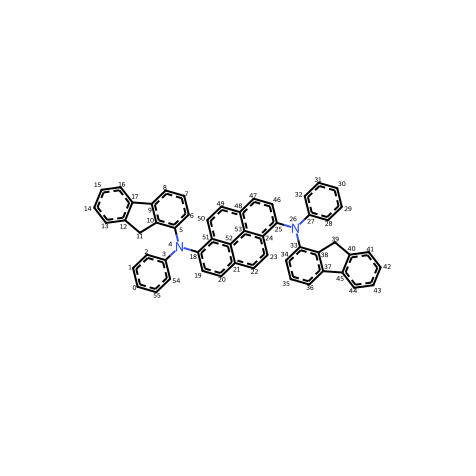 c1ccc(N(c2cccc3c2Cc2ccccc2-3)c2ccc3ccc4c(N(c5ccccc5)c5cccc6c5Cc5ccccc5-6)ccc5ccc2c3c54)cc1